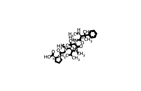 CN[C@H](C(=O)N[C@H](C(=O)N(C)[C@H](CN(C)CC(=O)N1CCC[C@H]1C(=O)O)C(C)C)C(C)(C)C)C(C)(C)c1ccccc1